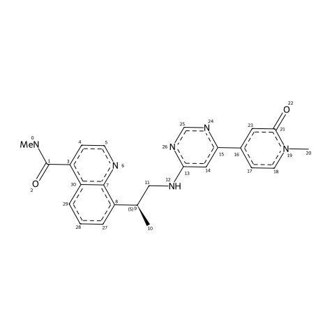 CNC(=O)c1ccnc2c([C@H](C)CNc3cc(-c4ccn(C)c(=O)c4)ncn3)cccc12